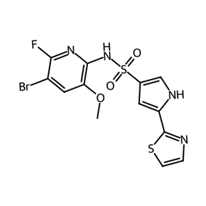 COc1cc(Br)c(F)nc1NS(=O)(=O)c1c[nH]c(-c2nccs2)c1